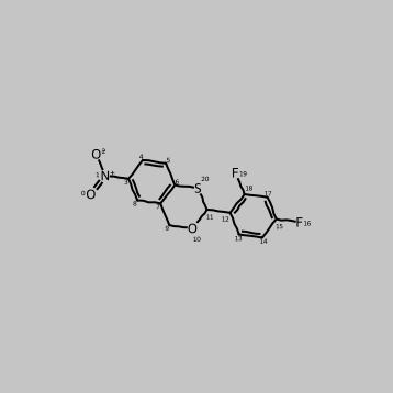 O=[N+]([O-])c1ccc2c(c1)COC(c1ccc(F)cc1F)S2